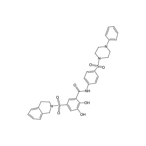 O=C(Nc1ccc(S(=O)(=O)N2CCN(c3ccccc3)CC2)cc1)c1cc(S(=O)(=O)N2CCc3ccccc3C2)cc(O)c1O